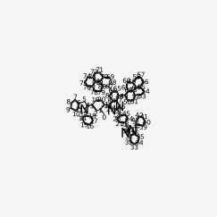 CC1C=C(C2Cc3ccccc3N2c2ccccc2)C=CC1c1nc(-c2ccc(-c3nc4ccccc4n3-c3ccccc3)cc2)nc2c(-c3ccc4ccc5cccc6ccc3c4c56)cc(C3CC=c4ccc5cccc6ccc3c4c65)cc12